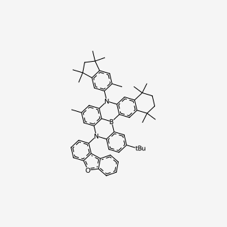 Cc1cc2c3c(c1)N(c1cccc4oc5ccccc5c14)c1ccc(C(C)(C)C)cc1B3c1cc3c(cc1N2c1cc2c(cc1C)C(C)(C)CC2(C)C)C(C)(C)CCC3(C)C